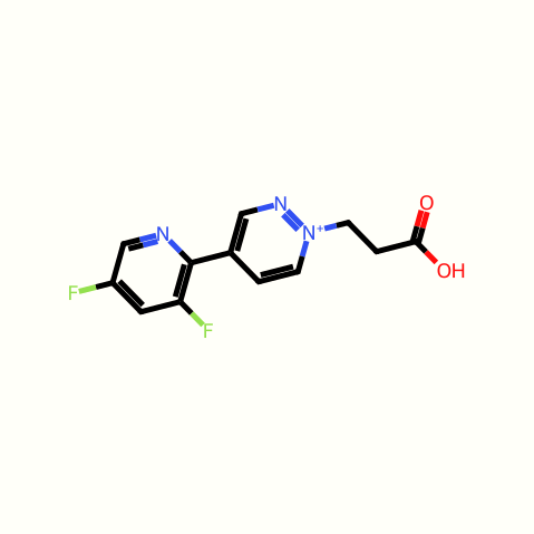 O=C(O)CC[n+]1ccc(-c2ncc(F)cc2F)cn1